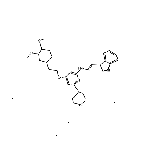 COC1CCC(CCOc2cc(N3CCOCC3)nc(N/N=C/C3CNc4ccccc43)n2)CC1OC